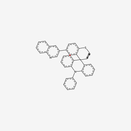 c1ccc(N2c3ccccc3C3(c4ccccc4Sc4ccc(-c5cnc6ccccc6c5)cc43)c3ccccc32)cc1